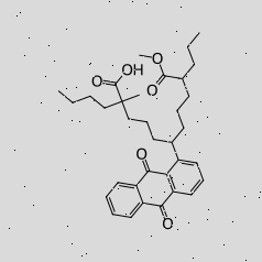 CCCCC(C)(CCCC(CCCC(CCC)C(=O)OC)c1cccc2c1C(=O)c1ccccc1C2=O)C(=O)O